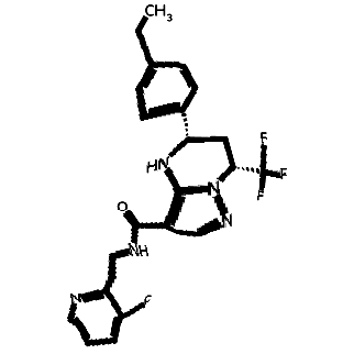 CCc1ccc([C@@H]2C[C@H](C(F)(F)F)n3ncc(C(=O)NCc4ncccc4F)c3N2)cc1